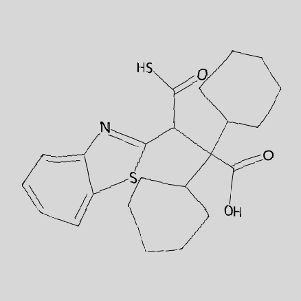 O=C(S)C(c1nc2ccccc2s1)C(C(=O)O)(C1CCCCC1)C1CCCCC1